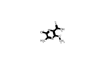 COc1nc(C)c(Cl)nc1C(O)=S